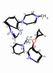 CN1CCN(c2cccc3nc([C@H]4CCC[C@@H](c5ncccc5OC5CC5)N4C)[nH]c23)CC1